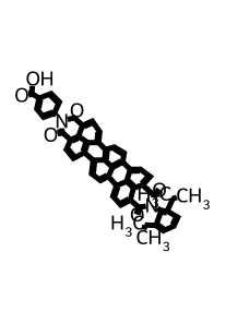 CC(C)c1cccc(C(C)C)c1N1C(=O)c2ccc3c4ccc5c6ccc7c8c(ccc(c9ccc(c%10ccc(c2c3%10)C1=O)c4c59)c86)C(=O)N(c1ccc(C(=O)O)cc1)C7=O